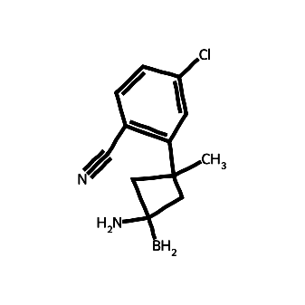 BC1(N)CC(C)(c2cc(Cl)ccc2C#N)C1